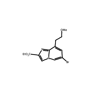 CCOC(=O)c1cn2cc(Br)cc(CCOC)c2n1